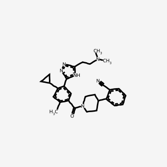 Cc1cc(C2CC2)c(-c2nnc(CCN(C)C)[nH]2)cc1C(=O)N1CCC(c2ccccc2C#N)CC1